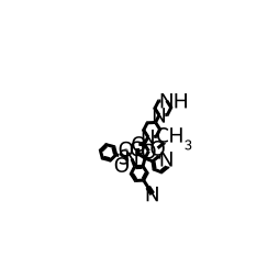 CCOc1ncccc1C1(OC(=O)N2CCC(N3CCNCC3)CC2)C(=O)N(S(=O)(=O)c2ccccc2)c2ccc(C#N)cc21